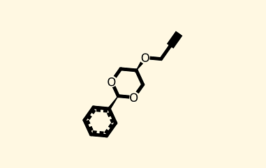 C#CCO[C@H]1CO[C@@H](c2ccccc2)OC1